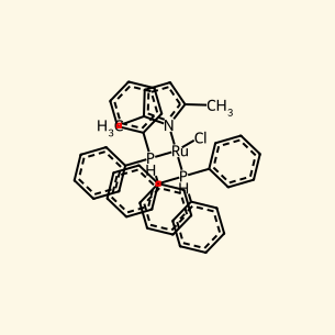 Cc1ccc(C)[n]1[Ru]([Cl])([PH](c1ccccc1)(c1ccccc1)c1ccccc1)[PH](c1ccccc1)(c1ccccc1)c1ccccc1